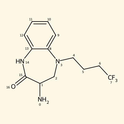 NC1CN(CCCC(F)(F)F)c2ccccc2NC1=O